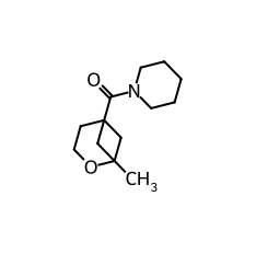 CC12CC(C(=O)N3CCCCC3)(CCO1)C2